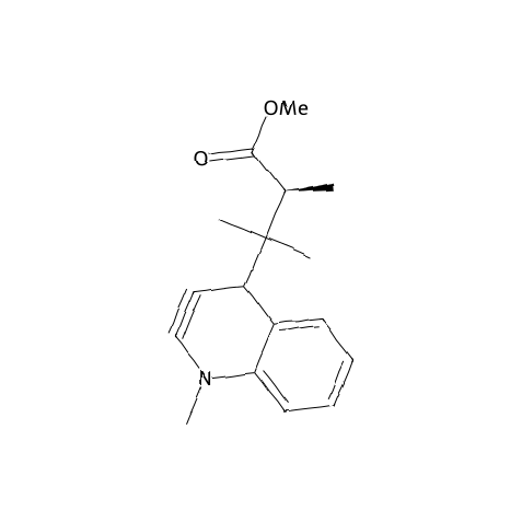 COC(=O)[C@@H](C)C(C)(C)C1C#CN(C)c2ccccc21